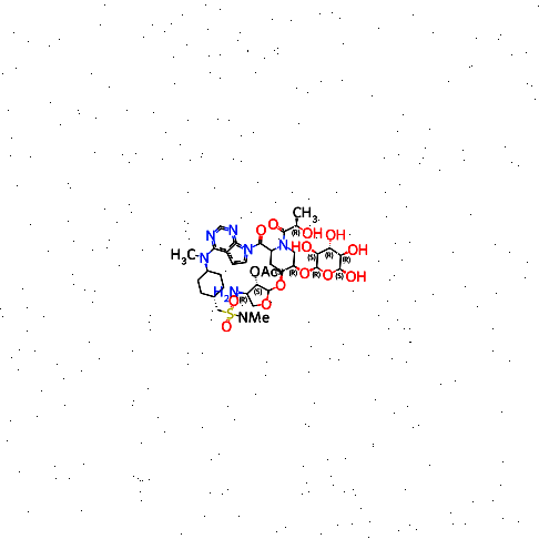 CNS(=O)(=O)C[C@H]1CC[C@H](N(C)c2ncnc3c2ccn3C(=O)C2C[C@H](OC3OC[C@@H](N)[C@@H]3OC(C)=O)[C@H](O[C@@H]3O[C@H](O)[C@H](O)[C@@H](O)[C@@H]3O)CN2C(=O)[C@@H](C)O)CC1